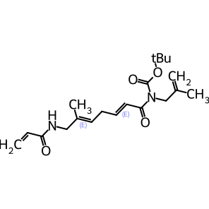 C=CC(=O)NC/C(C)=C/C/C=C/C(=O)N(CC(=C)C)C(=O)OC(C)(C)C